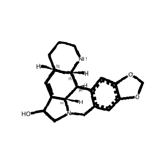 OC1CN2Cc3cc4c(cc3[C@@H]3[C@H]5NCCC[C@H]5C=C1[C@H]32)OCO4